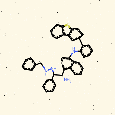 N[C@@H](c1ccc(Nc2ccccc2-c2ccc3sc4ccccc4c3c2)c2ccccc12)C(NNCc1ccccc1)c1ccccc1